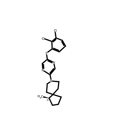 C[C@@H]1CCCC12CCN(c1cnc(Sc3cccc(Cl)c3Cl)cn1)CC2